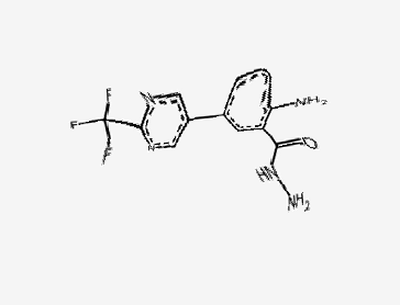 NNC(=O)c1cc(-c2cnc(C(F)(F)F)nc2)ccc1N